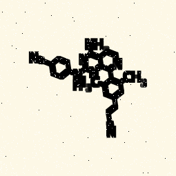 Cc1cc(C=CC#N)cc(C)c1-c1nccc2c(N)nc(Nc3ccc(C#N)cc3)nc12